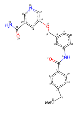 COCc1ccc(C(=O)Nc2cccc(COc3cncc(C(N)=O)c3)c2)cc1